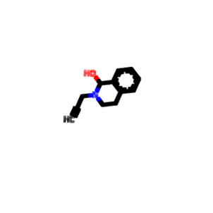 C#CCN1CCc2ccccc2C1O